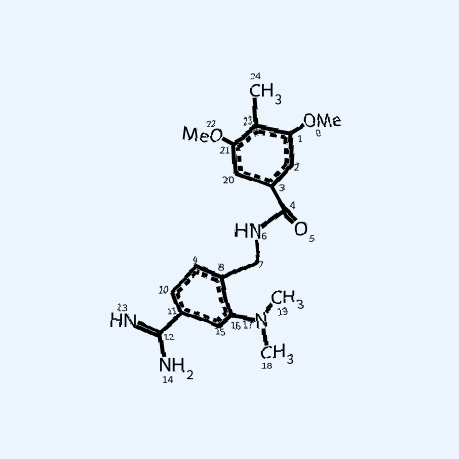 COc1cc(C(=O)NCc2ccc(C(=N)N)cc2N(C)C)cc(OC)c1C